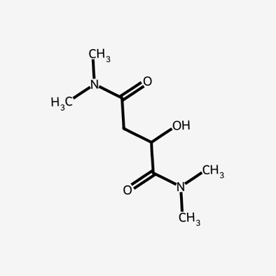 CN(C)C(=O)CC(O)C(=O)N(C)C